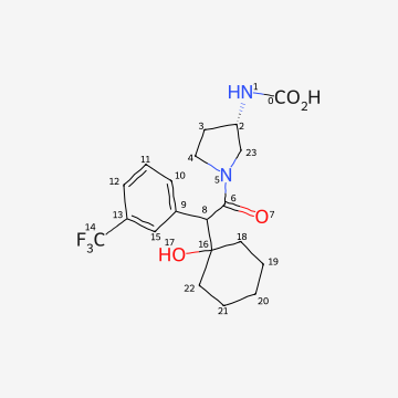 O=C(O)N[C@H]1CCN(C(=O)C(c2cccc(C(F)(F)F)c2)C2(O)CCCCC2)C1